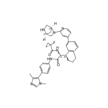 Cc1ncn(C)c1-c1ccc(NC(=O)[C@@H](NC(=O)C2(F)CC2)[C@@H]2CCCc3ccc(-c4ccnc(N5C[C@@H]6C[C@H]5CN6)c4)cc32)cc1